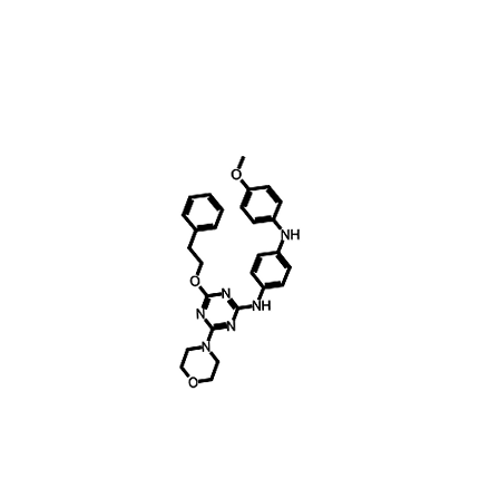 COc1ccc(Nc2ccc(Nc3nc(OCCc4ccccc4)nc(N4CCOCC4)n3)cc2)cc1